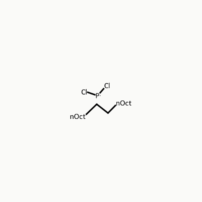 CCCCCCCCCCCCCCCCCC.Cl[P]Cl